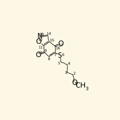 COCCCCSC1=CC(=O)c2oncc2C1=O